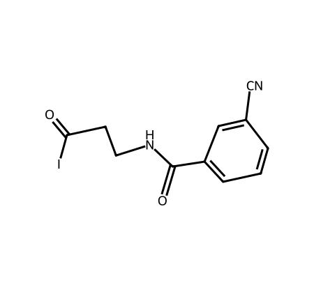 N#Cc1cccc(C(=O)NCCC(=O)I)c1